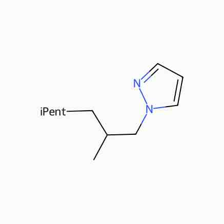 CCCC(C)CC(C)Cn1cccn1